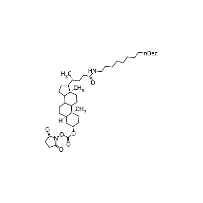 CCCCCCCCCCCCCCCCCCNC(=O)CC[C@@H](C)[C@H]1CCC2C3CC[C@@H]4C[C@H](OC(=O)ON5C(=O)CCC5=O)CC[C@]4(C)C3CC[C@@]21C